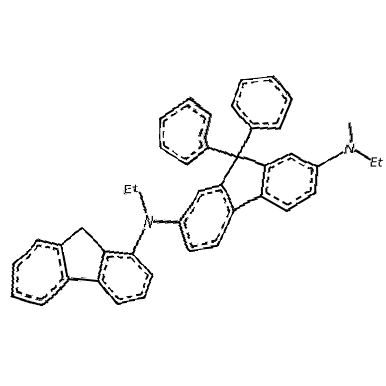 CCN(C)c1ccc2c(c1)C(c1ccccc1)(c1ccccc1)c1cc(N(CC)c3cccc4c3Cc3ccccc3-4)ccc1-2